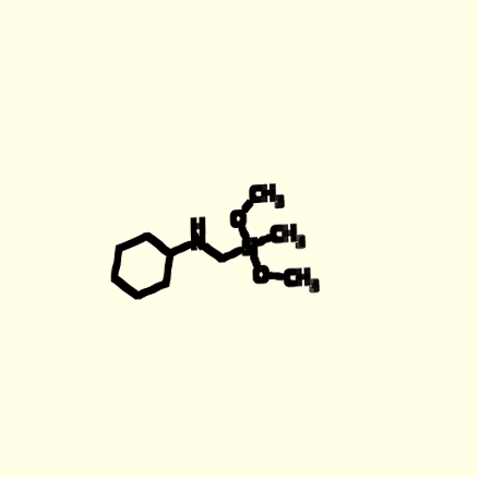 CO[Si](C)(CNC1CCCCC1)OC